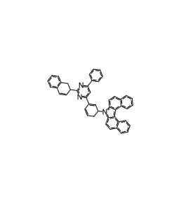 C1=CC(c2cc(-c3ccccc3)nc(C3C=Cc4ccccc4C3)n2)=CC(n2c3ccc4ccccc4c3c3c4ccccc4ccc32)C1